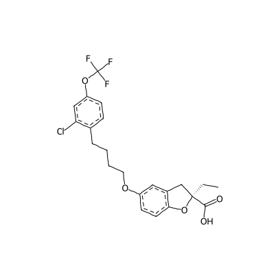 CC[C@@]1(C(=O)O)Cc2cc(OCCCCc3ccc(OC(F)(F)F)cc3Cl)ccc2O1